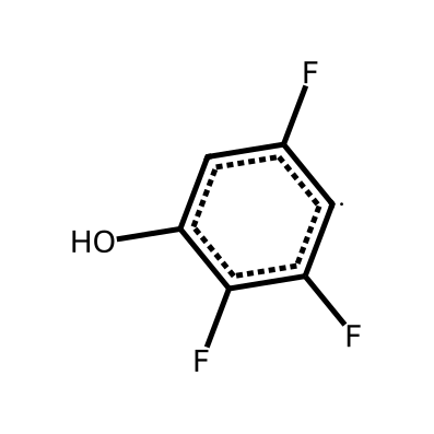 Oc1cc(F)[c]c(F)c1F